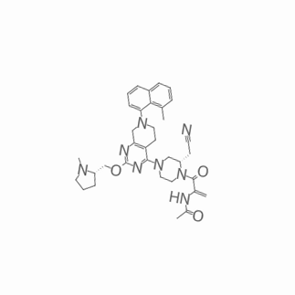 C=C(NC(C)=O)C(=O)N1CCN(c2nc(OC[C@@H]3CCCN3C)nc3c2CCN(c2cccc4cccc(C)c24)C3)C[C@@H]1CC#N